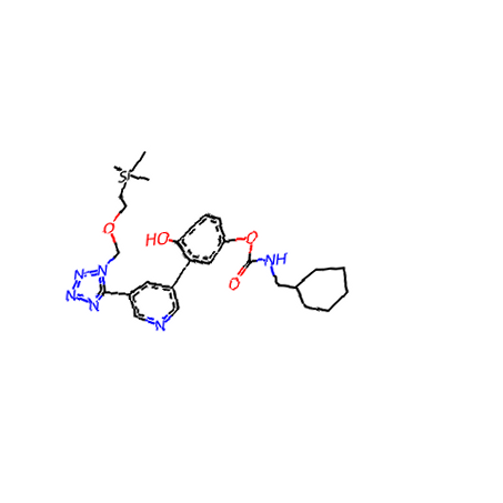 C[Si](C)(C)CCOCn1nnnc1-c1cncc(-c2cc(OC(=O)NCC3CCCCC3)ccc2O)c1